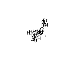 CCOc1cncc(-c2ccc(C(=O)NC(C)(C)c3nc(NS(=O)(=O)C4CC4)sc3C)c(F)c2)n1